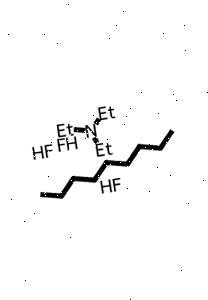 CCCCCCCCC.CCN(CC)CC.F.F.F